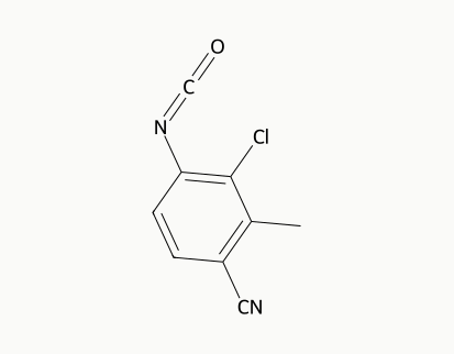 Cc1c(C#N)ccc(N=C=O)c1Cl